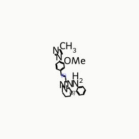 COc1cc(/C=C/c2nc3n(n2)CCC[C@H]3c2ccccc2N)ccc1-n1cnc(C)c1